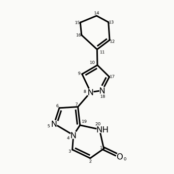 O=c1ccn2ncc(-n3cc(C4=CCCCC4)cn3)c2[nH]1